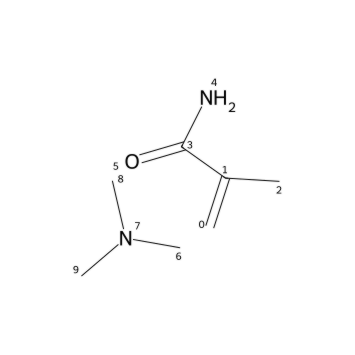 C=C(C)C(N)=O.CN(C)C